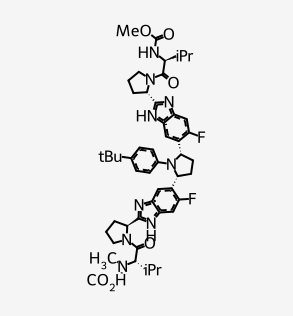 COC(=O)N[C@H](C(=O)N1CCC[C@H]1c1nc2cc(F)c([C@@H]3CC[C@H](c4cc5nc([C@@H]6CCCN6C(=O)[C@H](C(C)C)N(C)C(=O)O)[nH]c5cc4F)N3c3ccc(C(C)(C)C)cc3)cc2[nH]1)C(C)C